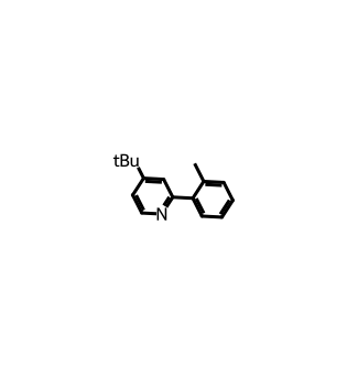 Cc1ccccc1-c1cc(C(C)(C)C)ccn1